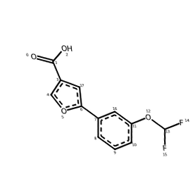 O=C(O)c1coc(-c2cccc(OC(F)F)c2)c1